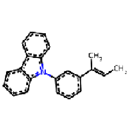 C/C=C(\C)c1cccc(-n2c3ccccc3c3ccccc32)c1